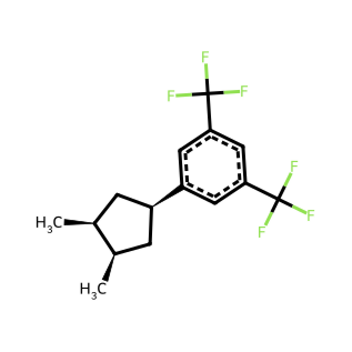 C[C@@H]1C[C@H](c2cc(C(F)(F)F)cc(C(F)(F)F)c2)C[C@@H]1C